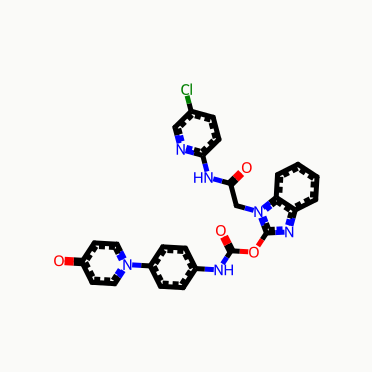 O=C(Cn1c(OC(=O)Nc2ccc(-n3ccc(=O)cc3)cc2)nc2ccccc21)Nc1ccc(Cl)cn1